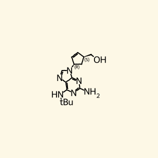 CC(C)(C)Nc1nc(N)nc2c1ncn2[C@H]1C=C[C@@H](CO)C1